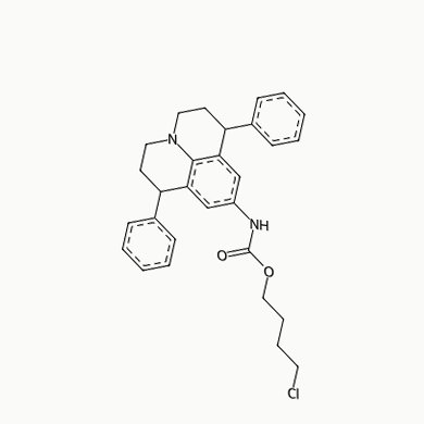 O=C(Nc1cc2c3c(c1)C(c1ccccc1)CCN3CCC2c1ccccc1)OCCCCCl